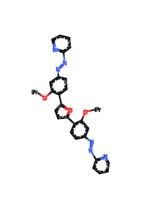 CC(C)Oc1cc(N=Nc2ccccn2)ccc1-c1ccc(-c2ccc(N=Nc3ccccn3)cc2OC(C)C)o1